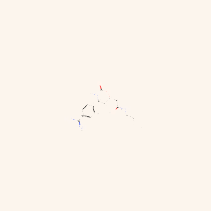 CN1C(=O)O[C@@H](CC(=O)NCCC(=O)O)C[C@H]1c1ccc(C(=N)N)cc1